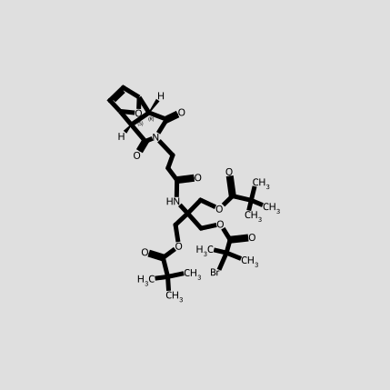 CC(C)(C)C(=O)OCC(COC(=O)C(C)(C)C)(COC(=O)C(C)(C)Br)NC(=O)CCN1C(=O)[C@@H]2C3C=CC(O3)[C@@H]2C1=O